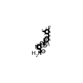 Cc1cc(F)cc(CN2CCN(C(=O)Oc3cncc(C(N)=O)c3)[C@H](C)C2)c1